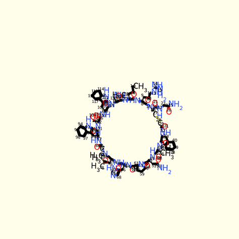 CCCC[C@H]1C(=O)N[C@@H](CCCNC(=N)N)C(=O)N[C@H](C(=O)NCC(N)=O)CSCC(=O)N[C@@H](Cc2ccccc2)C(=O)N(C)[C@@H](C)C(=O)N[C@@H](CC(N)=O)C(=O)N2CCC[C@H]2C(=O)N[C@@H](Cc2cnc[nH]2)C(=O)N[C@@H](CC(C)C)C(=O)N(C)CC(=O)N[C@@H](Cc2c[nH]c3ccccc23)C(=O)N[C@@H](CO)C(=O)N[C@@H](Cc2c[nH]c3ccccc23)C(=O)N[C@@H](CN)C(=O)N1C